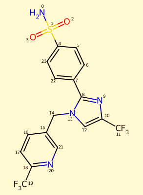 NS(=O)(=O)c1ccc(-c2nc(C(F)(F)F)cn2Cc2ccc(C(F)(F)F)nc2)cc1